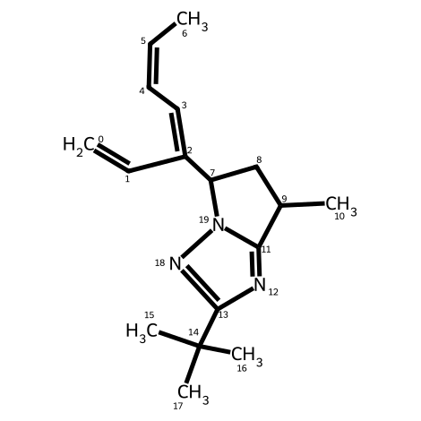 C=C/C(=C\C=C/C)C1CC(C)c2nc(C(C)(C)C)nn21